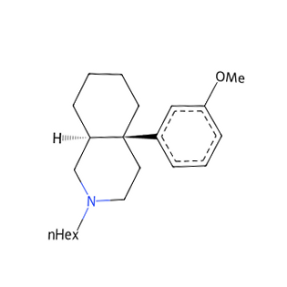 CCCCCCN1CC[C@@]2(c3cccc(OC)c3)CCCC[C@@H]2C1